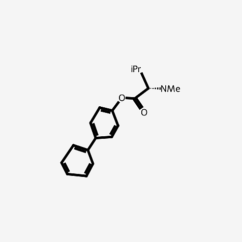 CN[C@H](C(=O)Oc1ccc(-c2ccccc2)cc1)C(C)C